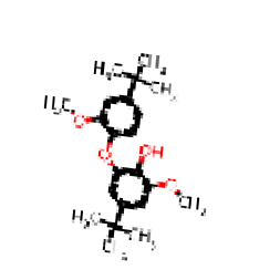 COc1cc(C(C)(C)C)ccc1Oc1cc(C(C)(C)C)cc(OC)c1O